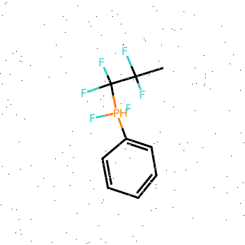 CC(F)(F)C(F)(F)[PH](F)(F)c1ccccc1